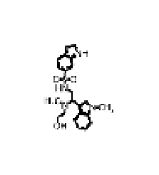 CN(CCO)C(CNS(=O)(=O)c1ccc2cc[nH]c2c1)c1cn(C)c2ccccc12